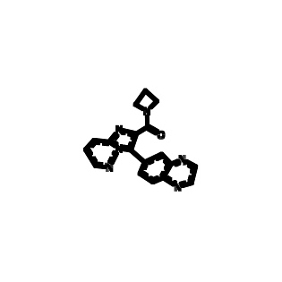 O=C(c1nc2cccnn2c1-c1ccc2nccnc2c1)N1CCC1